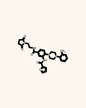 Cc1ccccc1N1CCN(c2ccc(C(=O)NCCN3C(=O)CCC3=O)cc2NC(=O)c2ccco2)CC1